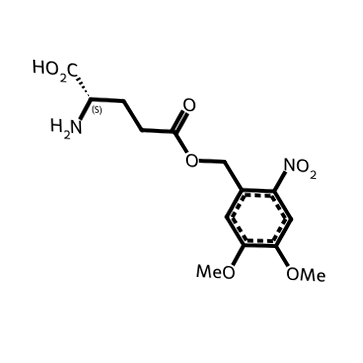 COc1cc(COC(=O)CC[C@H](N)C(=O)O)c([N+](=O)[O-])cc1OC